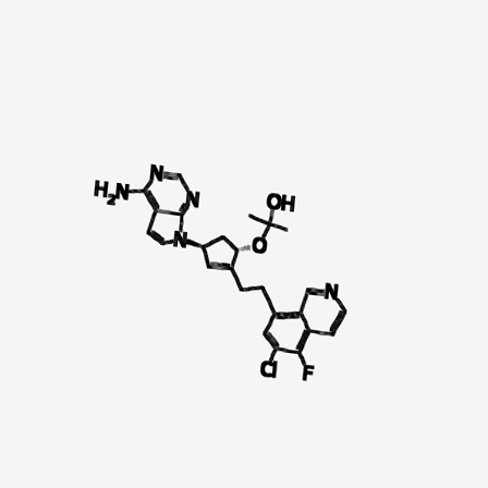 CC(C)(O)O[C@H]1C[C@H](n2ccc3c(N)ncnc32)C=C1CCc1cc(Cl)c(F)c2ccncc12